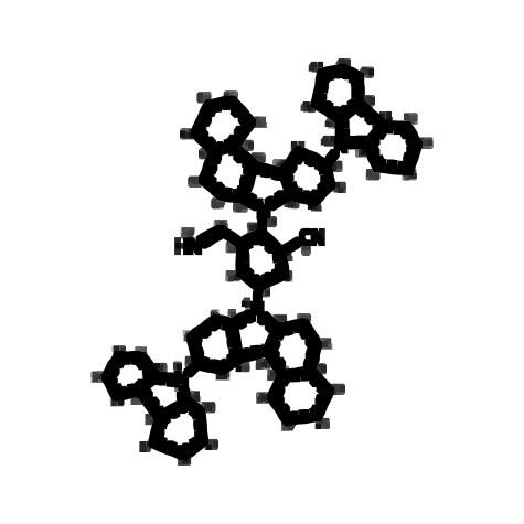 N#Cc1cc(-n2c3ccc(-n4c5ccccc5c5ccccc54)cc3c3c4ccccc4ccc32)cc(C=N)c1-n1c2ccc(-n3c4ccccc4c4ccccc43)cc2c2c3ccccc3ccc21